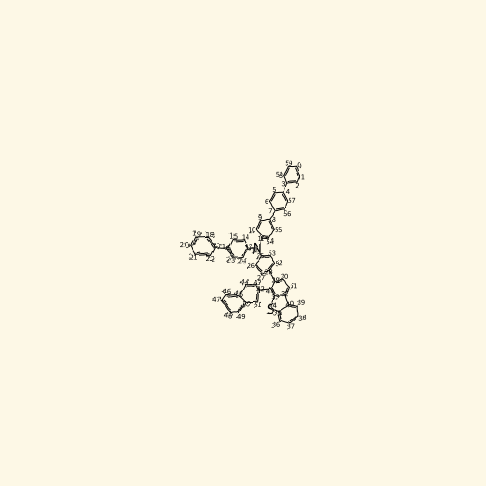 c1ccc(-c2ccc(-c3ccc(N(c4ccc(-c5ccccc5)cc4)c4ccc(-c5ccc6c(sc7ccccc76)c5-c5ccc6ccccc6c5)cc4)cc3)cc2)cc1